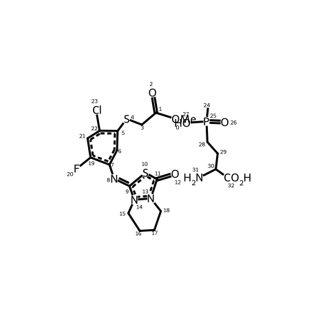 COC(=O)CSc1cc(/N=c2\sc(=O)n3n2CCCC3)c(F)cc1Cl.CP(=O)(O)CCC(N)C(=O)O